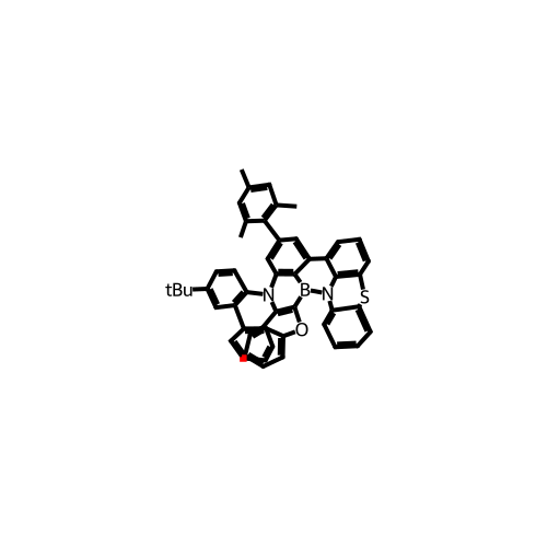 Cc1cc(C)c(-c2cc3c4c(c2)N(c2ccc(C(C)(C)C)cc2-c2ccccc2)c2c(oc5ccccc25)B4N2c4ccccc4Sc4cccc-3c42)c(C)c1